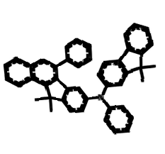 CC1(C)c2ccccc2-c2ccc(N(c3ccccc3)c3ccc4c(c3)-c3c(-c5ccccc5)cc5ccccc5c3C4(C)C)cc21